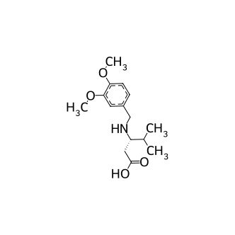 COc1ccc(CN[C@@H](CC(=O)O)C(C)C)cc1OC